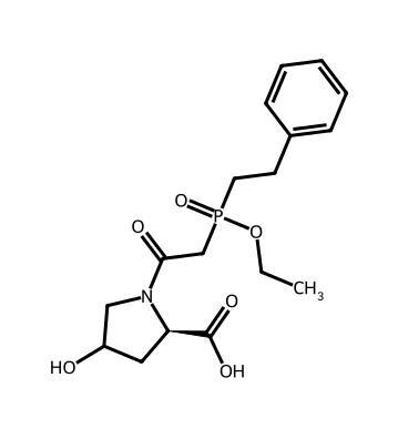 CCOP(=O)(CCc1ccccc1)CC(=O)N1CC(O)C[C@@H]1C(=O)O